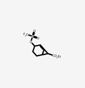 CCOC(=O)C1C2=CC(OS(=O)(=O)C(F)(F)F)CCC21